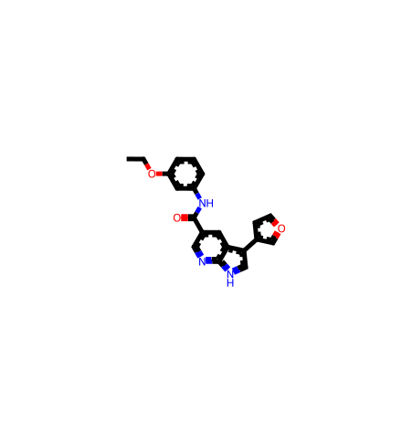 CCOc1cccc(NC(=O)c2cnc3[nH]cc(-c4ccoc4)c3c2)c1